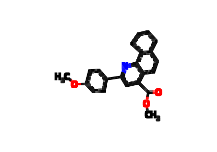 COC(=O)c1cc(-c2ccc(OC)cc2)nc2c1ccc1ccccc12